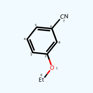 CCOc1[c]ccc(C#N)c1